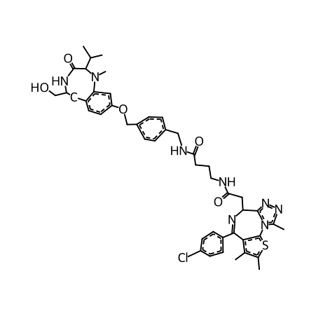 Cc1sc2c(c1C)C(c1ccc(Cl)cc1)=NC(CC(=O)NCCCC(=O)NCc1ccc(COc3ccc4c(c3)N(C)C(C(C)C)C(=O)NC(CO)C4)cc1)c1nnc(C)n1-2